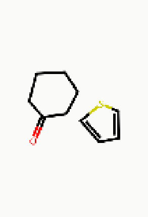 O=C1CCCCC1.c1ccsc1